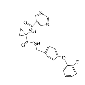 O=C(NC1(C(=O)NCc2ccc(Oc3ccccc3F)cc2)CC1)c1cncnc1